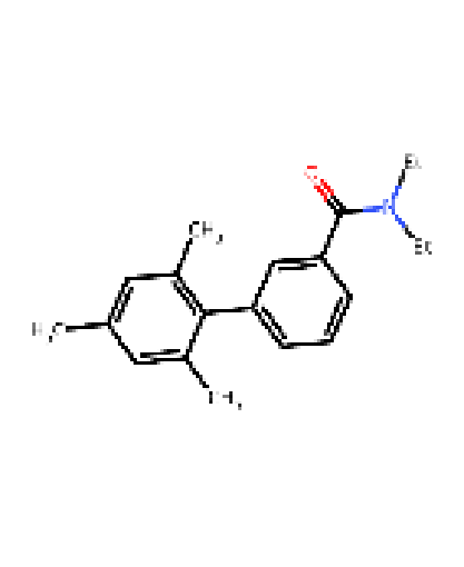 CCN(CC)C(=O)c1cccc(-c2c(C)cc(C)cc2C)c1